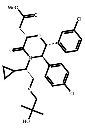 COC(=O)C[C@@H]1O[C@H](c2cccc(Cl)c2)[C@@H](c2ccc(Cl)cc2)N([C@H](CSCC(C)(C)O)C2CC2)C1=O